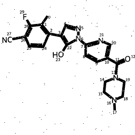 Cc1c(-c2cnn(-c3ccc(C(=O)N4CCN(C)CC4)cn3)c2O)ccc(C#N)c1F